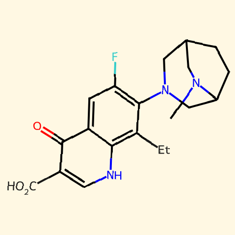 CCc1c(N2CC3CCC(C2)N(C)C3)c(F)cc2c(=O)c(C(=O)O)c[nH]c12